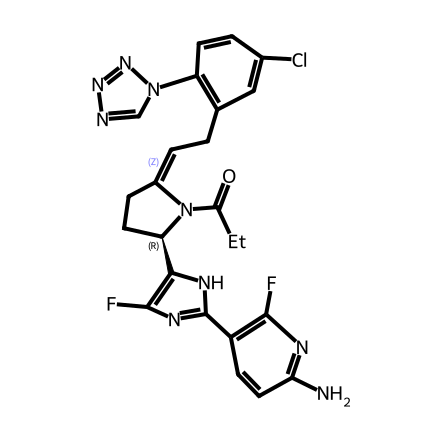 CCC(=O)N1/C(=C\Cc2cc(Cl)ccc2-n2cnnn2)CC[C@@H]1c1[nH]c(-c2ccc(N)nc2F)nc1F